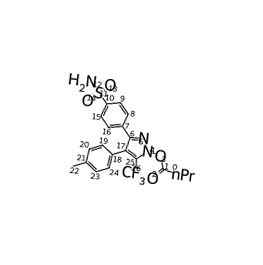 CCCC(=O)On1nc(-c2ccc(S(N)(=O)=O)cc2)c(-c2ccc(C)cc2)c1C(F)(F)F